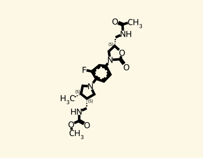 COC(=O)NC[C@H]1CN(c2ccc(N3C[C@H](CNC(C)=O)OC3=O)cc2F)C[C@H]1C